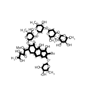 CCC(C)c1c(O[C@H]2C[C@@H](O)[C@H](O)[C@@H](C)O2)cc2cc3c(c(O)c2c1O)C(=O)C(O[C@H]1C[C@@H](O[C@H]2C[C@@H](O[C@H]4C[C@@H](O[C@H]5C[C@@H](O)[C@H](O)[C@@H](C)O5)[C@H](OC)[C@@H](C)O4)[C@@H](O)[C@@H](C)O2)[C@H](O)[C@@H](C)O1)C(C(OC)C(=O)C(O)C(C)O)C3